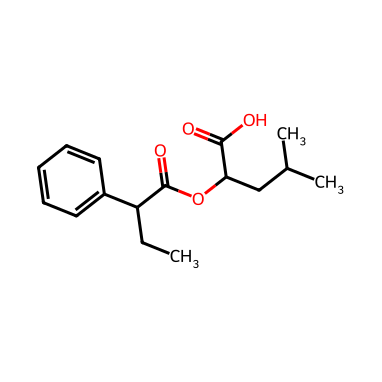 CCC(C(=O)OC(CC(C)C)C(=O)O)c1ccccc1